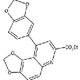 CCOC(=O)c1cc(-c2ccc3c(c2)OCO3)c2c3c(ccc2n1)OCO3